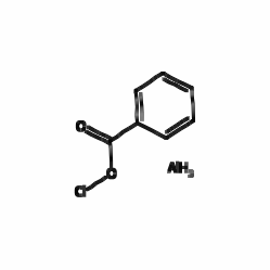 O=C(OCl)c1ccccc1.[AlH3]